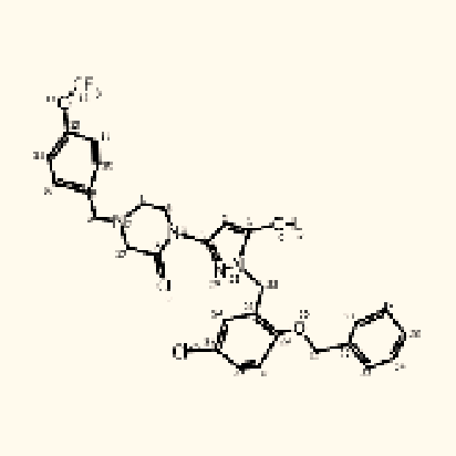 Cc1cc(N2CCN(Cc3ccc(OC(F)(F)F)cc3)CC2=O)nn1Cc1cc(Cl)ccc1OCc1ccccc1